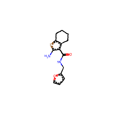 Nc1sc2c(c1C(=O)NCc1ccco1)CCCC2